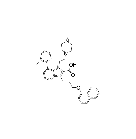 Cc1ccccc1-c1cccc2c(CCCOc3cccc4ccccc34)c(C(=O)O)n(CCN3CCN(C)CC3)c12